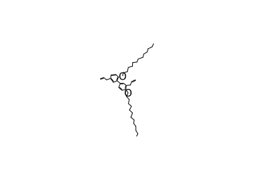 C=CCc1ccc(OCCCCCCCCCCCCC)c(-c2ccc(OCCCCCCCCCCCCC)c(CC=C)c2)c1